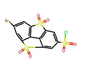 O=S(=O)(Cl)c1cc2c3c(c1)S(=O)(=O)c1cc(Br)cc(c1-3)S2(=O)=O